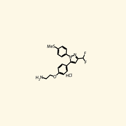 CSc1ccc(-n2nc(C(F)F)cc2-c2ccc(OCCN)cc2)cc1.Cl